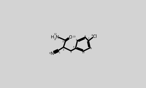 N#CC(Cc1ccc(Cl)cc1)C(N)=O